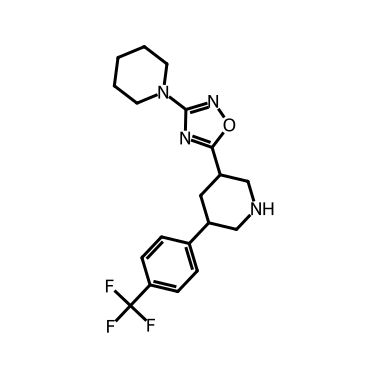 FC(F)(F)c1ccc(C2CNCC(c3nc(N4CCCCC4)no3)C2)cc1